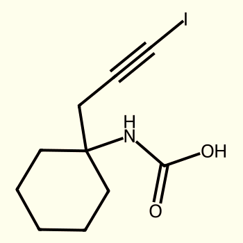 O=C(O)NC1(CC#CI)CCCCC1